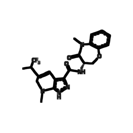 CC(C1=Cc2c(C(=O)N[C@H]3COc4ccccc4N(C)C3=O)n[nH]c2N(C)C1)C(F)(F)F